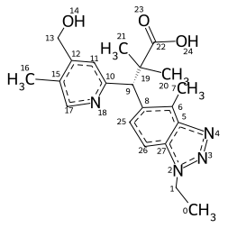 CCn1nnc2c(C)c([C@H](c3cc(CO)c(C)cn3)C(C)(C)C(=O)O)ccc21